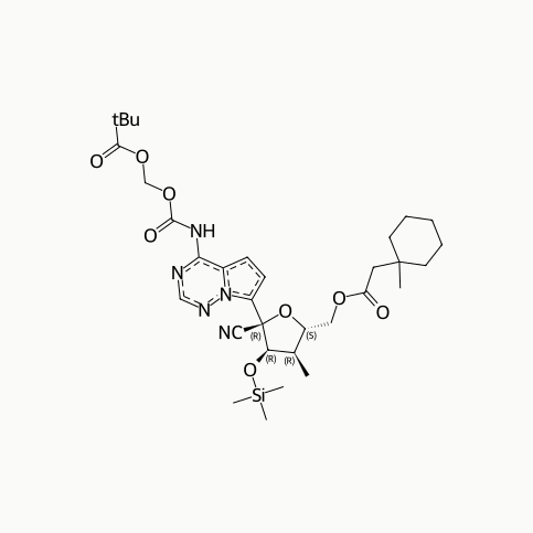 C[C@H]1[C@@H](O[Si](C)(C)C)[C@](C#N)(c2ccc3c(NC(=O)OCOC(=O)C(C)(C)C)ncnn23)O[C@@H]1COC(=O)CC1(C)CCCCC1